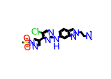 CN(C)CCn1cc2ccc(Nc3ncc(Cl)c(-c4cnn(S(C)(=O)=O)c4)n3)cc2n1